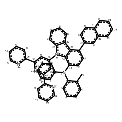 Cc1ccccc1N(c1ccccc1)c1ccc(-c2ccc3ccccc3c2)c2c3ccccc3n(-c3cc(-c4ccccn4)nc(-c4ccccn4)c3)c12